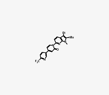 CCCCc1c(CC)c2ccc(-n3ccc(-c4ccc(C(F)(F)F)nc4)cc3=O)nc2n1C